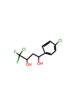 OC(CC(O)C(F)(F)Cl)c1ccc(Cl)cc1